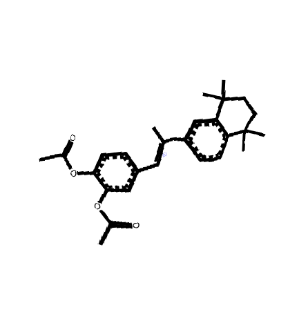 CC(=O)Oc1ccc(/C=C(\C)c2ccc3c(c2)C(C)(C)CCC3(C)C)cc1OC(C)=O